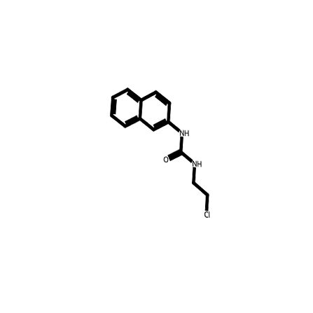 O=C(NCCCl)Nc1ccc2ccccc2c1